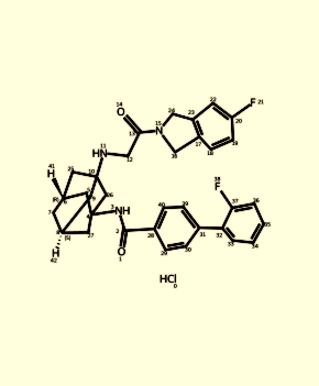 Cl.O=C(NC12C[C@@H]3C[C@@H](CC(NCC(=O)N4Cc5ccc(F)cc5C4)(C3)C1)C2)c1ccc(-c2ccccc2F)cc1